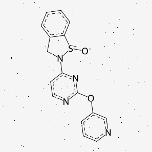 [O-][S+]1c2ccccc2CN1c1ccnc(Oc2cccnc2)n1